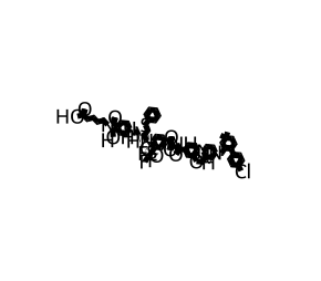 CC1(C)CCC(c2ccc(Cl)cc2)=C(CN2CCN3c4ccc(C(=O)NS(=O)(=O)c5ccc(N[C@H](CCN6CCC(CO)(C(=O)NCCCCC(=O)O)CC6)CSc6ccccc6)c(S(=O)(=O)C(F)(F)F)c5)cc4OC[C@@H]3C2)C1